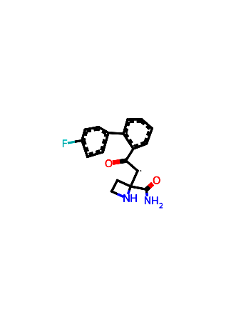 NC(=O)C1([CH]C(=O)c2ccccc2-c2ccc(F)cc2)CCN1